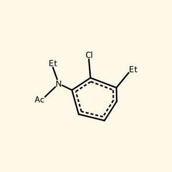 CCc1cccc(N(CC)C(C)=O)c1Cl